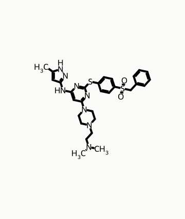 Cc1cc(Nc2cc(N3CCN(CCN(C)C)CC3)nc(Sc3ccc(S(=O)(=O)Cc4ccccc4)cc3)n2)n[nH]1